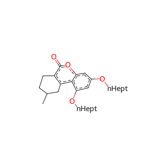 CCCCCCCOc1cc(OCCCCCCC)c2c3c(c(=O)oc2c1)CCC(C)C3